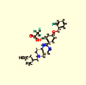 CC(CC(=O)O)CN1CCc2nc(-c3ccc(OCc4ccccc4F)cc3F)ncc2C1.O=C(O)C(F)(F)F